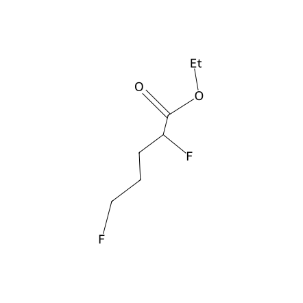 CCOC(=O)C(F)CCCF